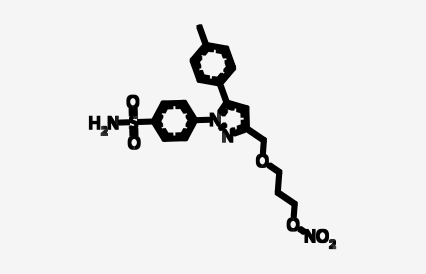 Cc1ccc(-c2cc(COCCCO[N+](=O)[O-])nn2-c2ccc(S(N)(=O)=O)cc2)cc1